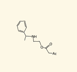 CC(=O)CC(=O)OCCNC(C)c1ccccc1